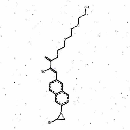 CCC1CN1c1ccc2cc(/C=C(\C#N)C(=O)CCCOCCOCCO)ccc2c1